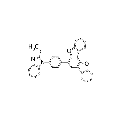 CCc1nc2ccccc2n1-c1ccc(-c2cc3c4ccccc4oc3c3c2oc2ccccc23)cc1